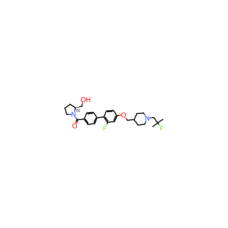 CC(C)(F)CN1CCC(COc2ccc(-c3ccc(C(=O)N4CCC[C@H]4CO)cc3)c(F)c2)CC1